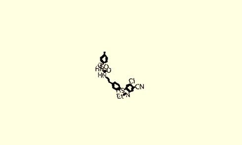 CCC1=Nc2cc(C#N)c(Cl)cc2[SH]1c1ccc(CCNC(=O)NS(=O)(=O)c2ccc(C)cc2)cc1